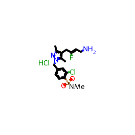 CNS(=O)(=O)c1ccc(Cn2nc(C)c(CC(F)=CCN)c2C)cc1Cl.Cl